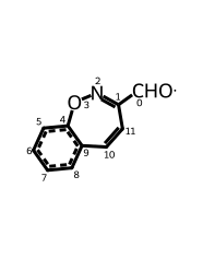 O=[C]C1=NOc2ccccc2C=C1